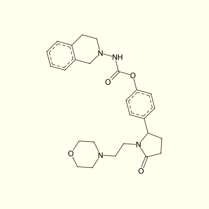 O=C(NN1CCc2ccccc2C1)Oc1ccc(C2CCC(=O)N2CCN2CCOCC2)cc1